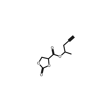 C#CCC(C)OC(=O)C1COC(=O)O1